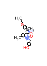 CCCCOc1ccc([C@]2(C)CC(c3ccc(C)cc3)=C(n3nnn(Cc4ccc(O)cc4)c3=O)C(=O)N2)cc1